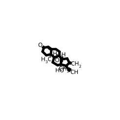 C#C[C@]1(O)C(=C)C[C@H]2[C@@H]3CCC4=CC(=O)CC[C@]4(C)[C@@]3(O)CC[C@@]21C